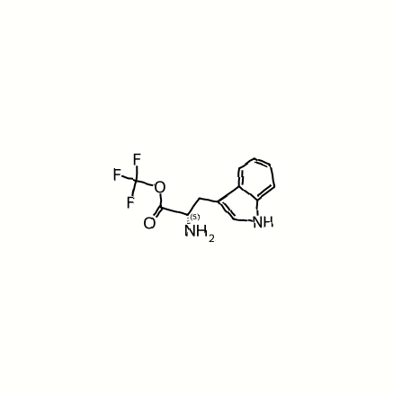 N[C@@H](Cc1c[nH]c2ccccc12)C(=O)OC(F)(F)F